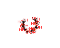 O=P(O)(OC[C@H](O)COP(=O)(O)OC[C@H](O)COP(=O)(O)OC[C@H](O)CO)OC[C@@H](O)COP(=O)(O)OC[C@@H](O)CO